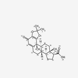 CC1(C)OC2=C(O1)[C@@]1(C)C(=CC2=O)CC[C@@H]2[C@@H]1CC[C@]1(C)[C@@H](C(=O)O)CC[C@@H]21